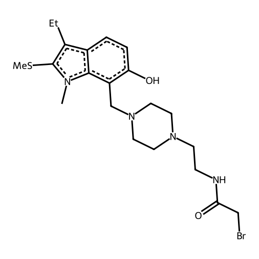 CCc1c(SC)n(C)c2c(CN3CCN(CCNC(=O)CBr)CC3)c(O)ccc12